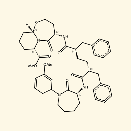 COC(=O)[C@@H]1CCC[C@@H]2SCC[C@H](NC(=O)[C@H](CC[C@H](Cc3ccccc3)C(=O)N[C@H]3CCCCN(C4C=C(OC)C=CC4)C3=O)Cc3ccccc3)C(=O)N21